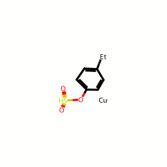 CCc1ccc(O[SH](=O)=O)cc1.[Cu]